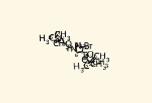 CC1(C)OB(c2cn(COCC[Si](C)(C)C)nc2Br)OC1(C)C